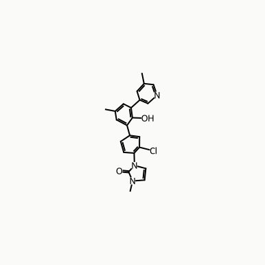 Cc1cncc(-c2cc(C)cc(-c3ccc(-n4ccn(C)c4=O)c(Cl)c3)c2O)c1